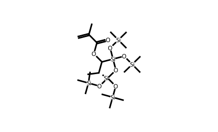 C=C(C)C(=O)OC(CC)[Si](O[Si](C)(C)C)(O[Si](C)(C)C)O[Si](C)(O[Si](C)(C)C)O[Si](C)(C)C